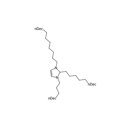 CCCCCCCCCCCCCCCCCN1C=CN(CCCCCCCCCCCCC)C1CCCCCCCCCCCCCCC